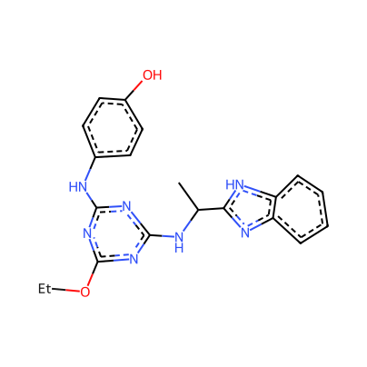 CCOc1nc(Nc2ccc(O)cc2)nc(NC(C)c2nc3ccccc3[nH]2)n1